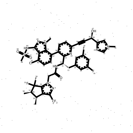 C[C@@H]1c2c(C(F)(F)F)nn(CC(=O)N[C@@H](Cc3cc(F)cc(F)c3)c3nc(C#C[C@@H](O)c4cn(C)cn4)ccc3-c3ccc(Cl)c4c(NS(C)(=O)=O)nn(C)c34)c2C(F)(F)[C@@H]1C